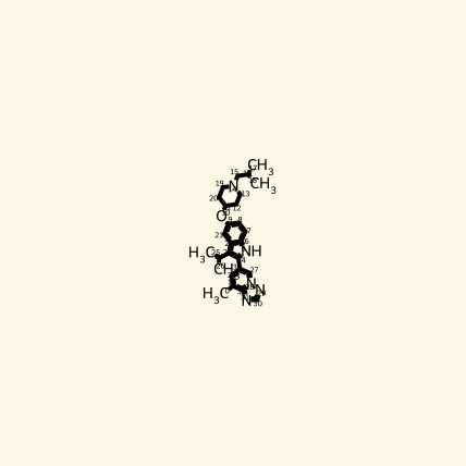 Cc1cc(-c2[nH]c3ccc(OC4CCN(CC(C)C)CC4)cc3c2C(C)C)cn2ncnc12